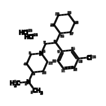 CN(C)C1CCN(CC(c2cccc(Cl)c2)C2CCCCC2)CC1.Cl.Cl